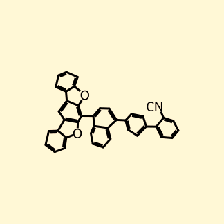 [C-]#[N+]c1ccccc1-c1ccc(-c2ccc(-c3c4oc5ccccc5c4cc4c3oc3ccccc34)c3ccccc23)cc1